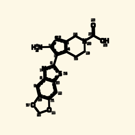 Nc1sc2c(c1-c1nc3cc4c(cc3s1)OCO4)CCN(C(=O)O)C2